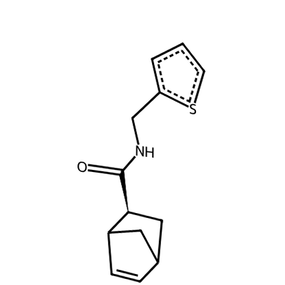 O=C(NCc1cccs1)[C@H]1CC2C=CC1C2